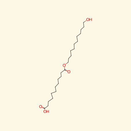 O=C(O)CCCCCCCCCCC(=O)OCCCCCCCCCCCCO